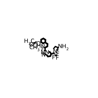 COC(C)(C)COc1cccc2ccc(-c3nnc4ccc([C@@H](N5CCC(N)C5)C(F)(F)F)cn34)nc12